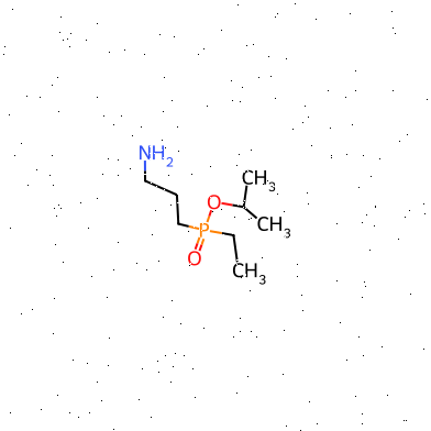 CCP(=O)(CCCN)OC(C)C